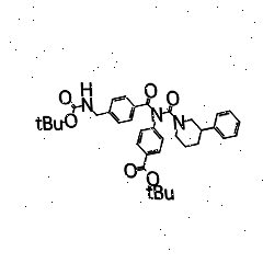 CC(C)(C)OC(=O)NCc1ccc(C(=O)N(C(=O)N2CCCC(c3ccccc3)C2)c2ccc(C(=O)OC(C)(C)C)cc2)cc1